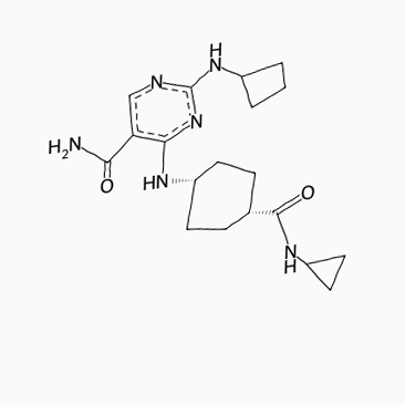 NC(=O)c1cnc(NC2CCC2)nc1N[C@H]1CC[C@@H](C(=O)NC2CC2)CC1